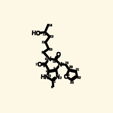 Cc1nc2c([nH]1)c(=O)n(CCCCC(C)O)c(=O)n2Cc1ccco1